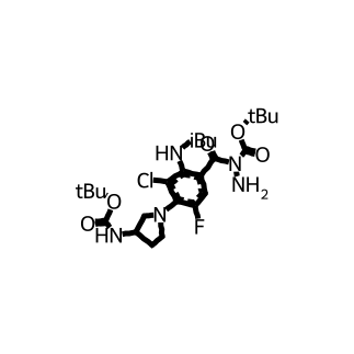 CCC(C)Nc1c(C(=O)N(N)C(=O)OC(C)(C)C)cc(F)c(N2CCC(NC(=O)OC(C)(C)C)C2)c1Cl